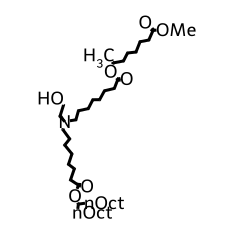 CCCCCCCCC(CCCCCCCC)OC(=O)CCCCCCCN(CCO)CCCCCCCC(=O)OC(C)CCCCCC(=O)OC